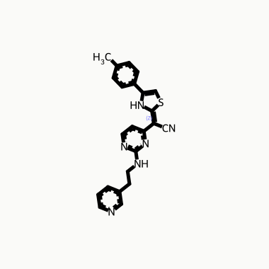 Cc1ccc(C2=CS/C(=C(\C#N)c3ccnc(NCCc4cccnc4)n3)N2)cc1